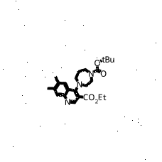 CCOC(=O)c1cnc2cc(C)c(C)cc2c1N1CCCN(C(=O)OC(C)(C)C)CC1